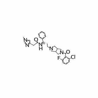 Cn1cnc(CC(=O)N[C@@H](CCN2CC3CN(C(=O)c4c(F)cccc4Cl)CC3C2)c2ccccc2)c1